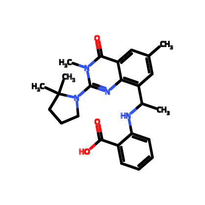 Cc1cc(C(C)Nc2ccccc2C(=O)O)c2nc(N3CCCC3(C)C)n(C)c(=O)c2c1